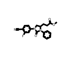 COC(=O)CCC1CN(c2ccc(C#N)c(F)c2)C(=O)N1c1ccccc1